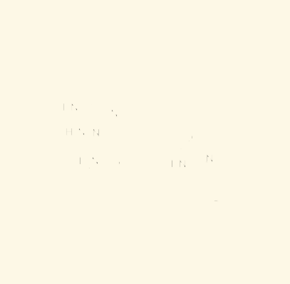 NC(=O)c1c(-c2ccc(C(=O)Nc3cc(F)ccn3)cc2)nc(C2CCCCN2)n1N